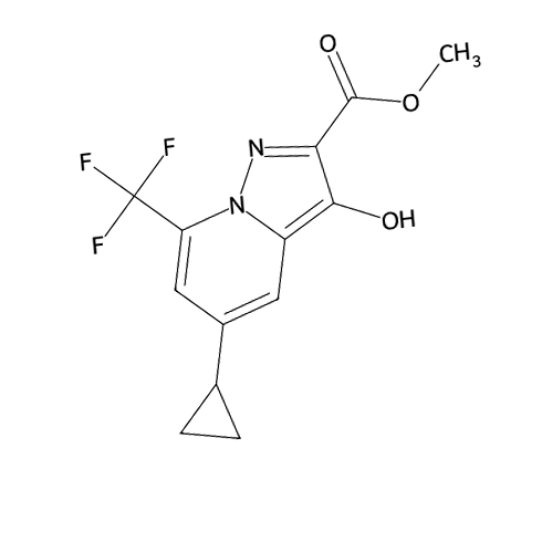 COC(=O)c1nn2c(C(F)(F)F)cc(C3CC3)cc2c1O